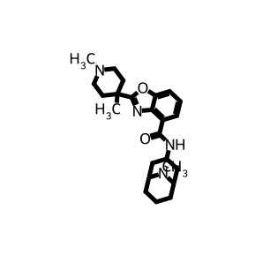 CN1CCC(C)(c2nc3c(C(=O)NC4CC5CCCC(C4)N5C)cccc3o2)CC1